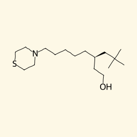 CC(C)(C)C[C@@H](CCO)CCCCCN1CCSCC1